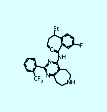 CCC1CC=C=C(Nc2nc(-c3ccccc3C(F)(F)F)nc3c2CCNCC3)c2cc(F)ccc21